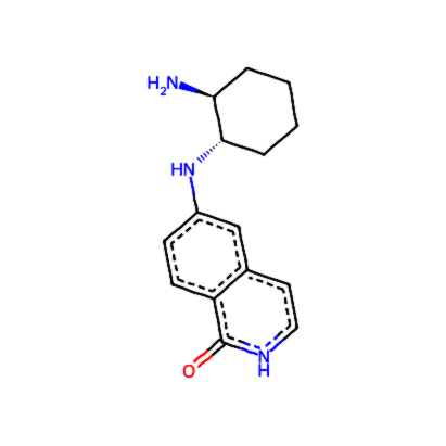 N[C@H]1CCCC[C@@H]1Nc1ccc2c(=O)[nH]ccc2c1